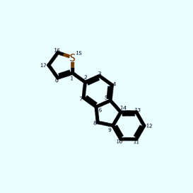 C1=C(c2ccc3c(c2)Cc2ccccc2-3)SCC1